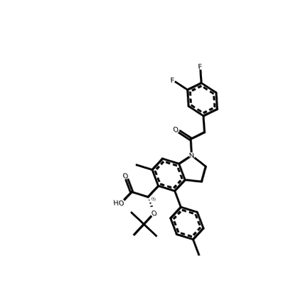 Cc1ccc(-c2c3c(cc(C)c2[C@H](OC(C)(C)C)C(=O)O)N(C(=O)Cc2ccc(F)c(F)c2)CC3)cc1